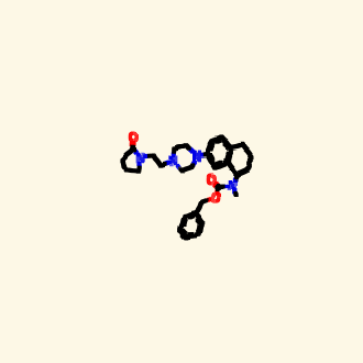 CN(C(=O)OCc1ccccc1)C1CCCc2ccc(N3CCN(CCN4CCCC4=O)CC3)cc21